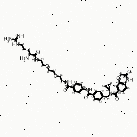 N=C(N)NCCC[C@H](N)C(=O)NCCOCCOCCNC(=O)c1ccc(NC(=O)c2ccc(CN(C(=O)c3ccc4c(c3)OCC(=O)N4)C3CC3)cc2)cc1